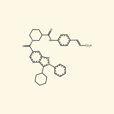 O=C(O)C=Cc1ccc(NC(=O)C2CCCN(C(=O)c3ccc4c(C5CCCCC5)n(-c5ccccc5)nc4c3)C2)cc1